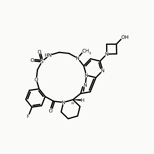 CN1CCNS(=O)(=O)COc2ccc(F)cc2C(=O)N2CCCC[C@H]2c2cc3nc(N4CC(O)C4)cc1n3n2